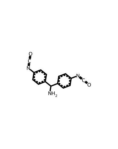 NC(c1ccc(N=C=O)cc1)c1ccc(N=C=O)cc1